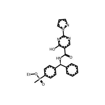 CCOP(C)(=O)c1ccc([C@@H](NC(=O)c2cnc(-n3cccn3)nc2O)c2ccccc2)cc1